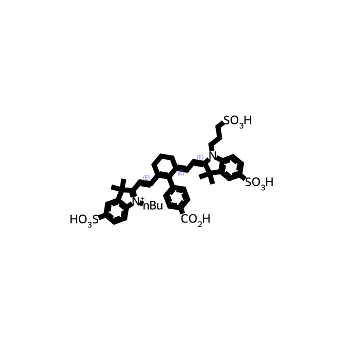 CCCC[N+]1=C(/C=C/C2=C(c3ccc(C(=O)O)cc3)C(=C/C=C3/N(CCCS(=O)(=O)O)c4ccc(S(=O)(=O)O)cc4C3(C)C)/CCC2)C(C)(C)c2cc(S(=O)(=O)O)ccc21